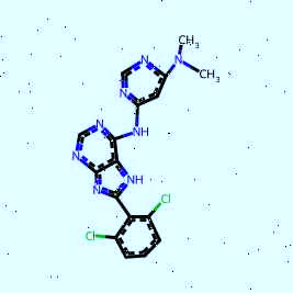 CN(C)c1cc(Nc2ncnc3nc(-c4c(Cl)cccc4Cl)[nH]c23)ncn1